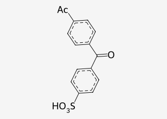 CC(=O)c1ccc(C(=O)c2ccc(S(=O)(=O)O)cc2)cc1